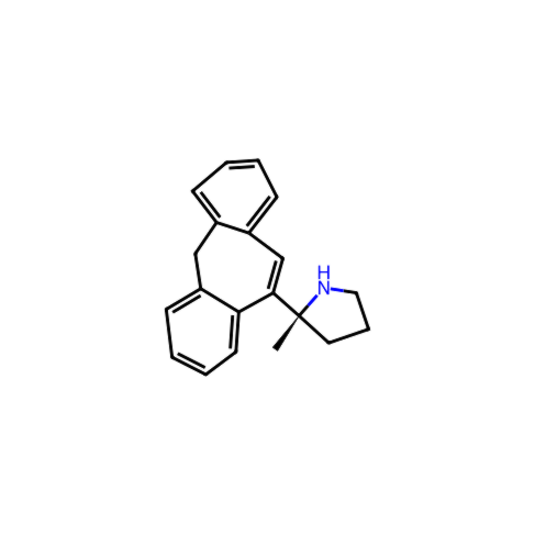 C[C@]1(C2=Cc3ccccc3Cc3ccccc32)CCCN1